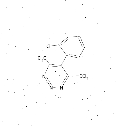 Clc1ccccc1-c1c(C(Cl)(Cl)Cl)nnnc1C(Cl)(Cl)Cl